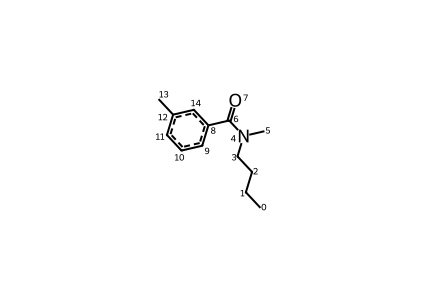 CCCCN(C)C(=O)c1cccc(C)c1